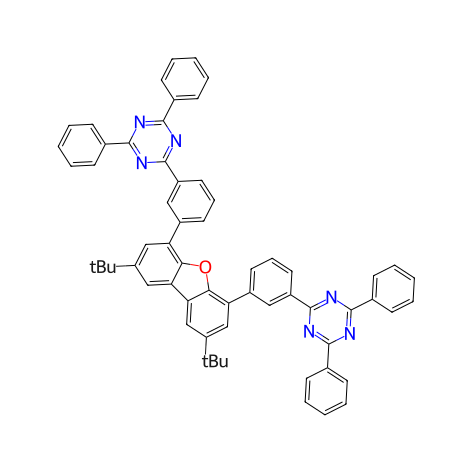 CC(C)(C)c1cc(-c2cccc(-c3nc(-c4ccccc4)nc(-c4ccccc4)n3)c2)c2oc3c(-c4cccc(-c5nc(-c6ccccc6)nc(-c6ccccc6)n5)c4)cc(C(C)(C)C)cc3c2c1